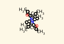 Cc1cc(C)c(B2c3cc4c(cc3N3c5cc6ccccc6c6c5N(c5cc7oc8cc(C)ccc8c7cc5B6c5c(C)cc(C)cc5C)c5cc6ccccc6c2c53)oc2cc(C)ccc24)c(C)c1